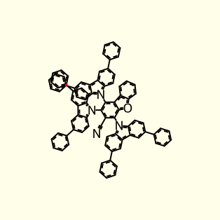 N#Cc1c(-n2c3ccc(-c4ccccc4)cc3c3cc(-c4ccccc4)ccc32)c(-n2c3ccc(-c4ccccc4)cc3c3cc(-c4ccccc4)ccc32)c2c(oc3ccccc32)c1-n1c2ccc(-c3ccccc3)cc2c2cc(-c3ccccc3)ccc21